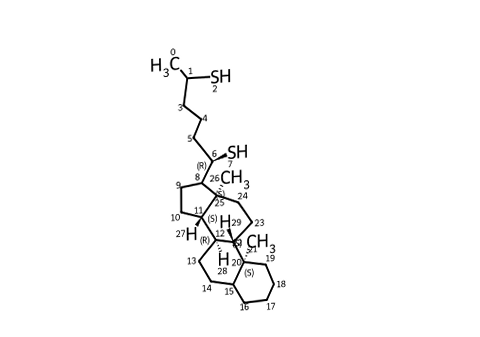 CC(S)CCC[C@@H](S)C1CC[C@H]2[C@@H]3CCC4CCCC[C@]4(C)[C@H]3CC[C@]12C